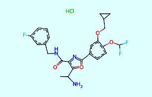 CC(N)c1oc(-c2ccc(OC(F)F)c(OCC3CC3)c2)nc1C(=O)NCc1cccc(F)c1.Cl